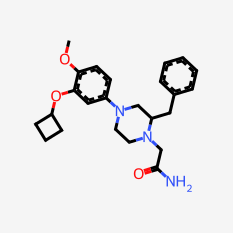 COc1ccc(N2CCN(CC(N)=O)C(Cc3ccccc3)C2)cc1OC1CCC1